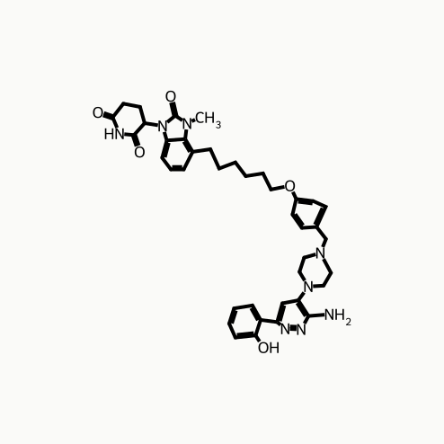 Cn1c(=O)n(C2CCC(=O)NC2=O)c2cccc(CCCCCCOc3ccc(CN4CCN(c5cc(-c6ccccc6O)nnc5N)CC4)cc3)c21